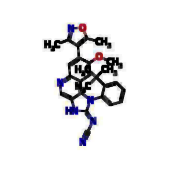 COc1cc2c(cc1-c1c(C)noc1C)ncc1[nH]c(=NC#N)n(-c3ccccc3C(C)(C)C)c12